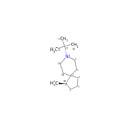 C[C@@H]1CCCC12CCN(C(C)(C)C)CC2